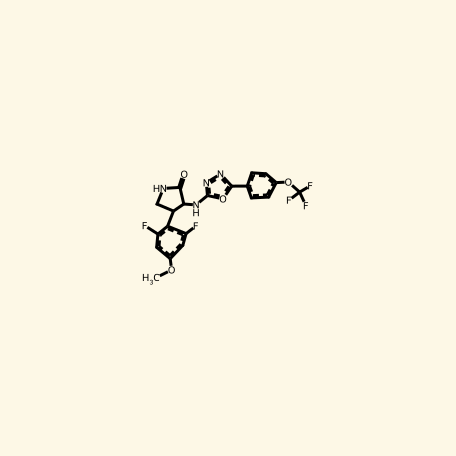 COc1cc(F)c(C2CNC(=O)C2Nc2nnc(-c3ccc(OC(F)(F)F)cc3)o2)c(F)c1